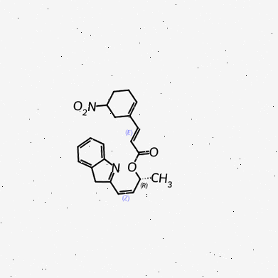 C[C@H](/C=C\C1=Nc2ccccc2C1)OC(=O)/C=C/C1=CCCC([N+](=O)[O-])C1